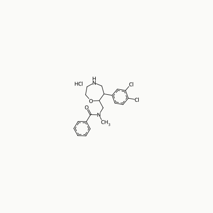 CN(CC1OCCNCC1c1ccc(Cl)c(Cl)c1)C(=O)c1ccccc1.Cl